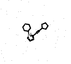 C(#CC1CCCC1)c1cccn1C1CCCCC1